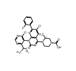 CC(C)c1ncnc(Cl)c1-n1c(=O)nc(N2CCN(C(=O)O)C[C@@H]2C)c2cc(Cl)c(-c3ccccc3F)nc21